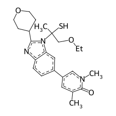 CCOCC(C)(S)n1c(C2CCOCC2)nc2ccc(-c3cc(C)c(=O)n(C)c3)cc21